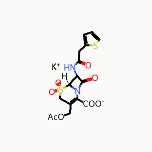 CC(=O)OCC1=C(C(=O)[O-])N2C(=O)[C@H](NC(=O)Cc3cccs3)[C@@H]2S(=O)(=O)C1.[K+]